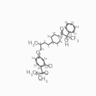 CC(CCC1CCN(C(=O)C(O)(c2ccccc2)C(F)(F)F)CC1)COc1ccc(C(=O)N(C)C)c(Cl)c1